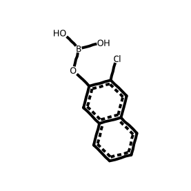 OB(O)Oc1cc2ccccc2cc1Cl